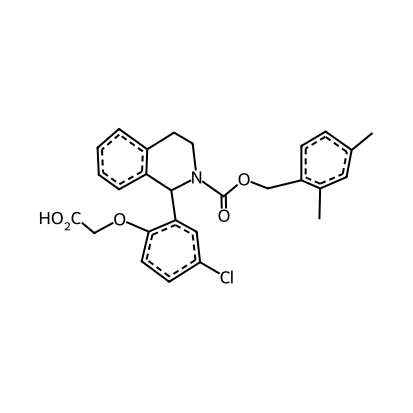 Cc1ccc(COC(=O)N2CCc3ccccc3C2c2cc(Cl)ccc2OCC(=O)O)c(C)c1